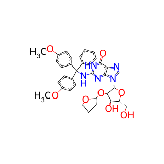 COc1ccc(C(Nc2nc3c(ncn3[C@@H]3O[C@H](CO)[C@@H](O)[C@H]3OC3CCCO3)c(=O)[nH]2)(c2ccccc2)c2ccc(OC)cc2)cc1